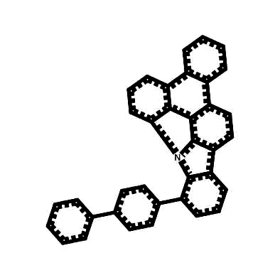 c1ccc(-c2ccc(-c3cccc4c5ccc6c7ccccc7c7cccc8c7c6c5n8c34)cc2)cc1